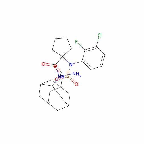 NC(=O)C12CC3CC(C1)C(NC(=O)C1(N(c4cccc(Cl)c4F)[SH](=O)=O)CCCC1)C(C3)C2